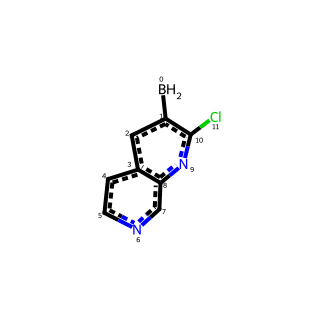 Bc1cc2ccncc2nc1Cl